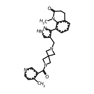 Cc1ccncc1C(=O)N1CC2(CN(Cc3c[nH]nc3-c3cccc4c3N(C)C(=O)CC4)C2)C1